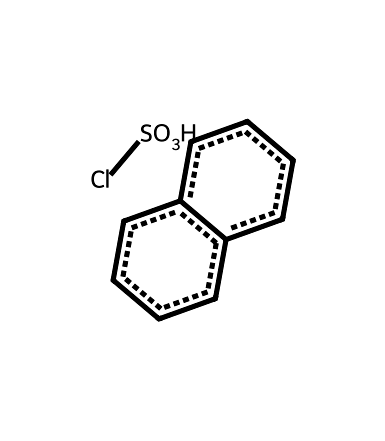 O=S(=O)(O)Cl.c1ccc2ccccc2c1